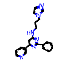 c1ccc(-c2nc(NCCCn3ccnc3)cc(-c3cccnc3)n2)cc1